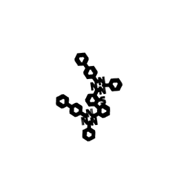 C1=CC(c2nc(-c3cccc4sc5c(-c6nc(-c7ccccc7)nc(-c7ccc(-c8ccccc8)cc7)n6)cccc5c34)nc(C3C=CC(c4ccccc4)=CC3)n2)=CCC1